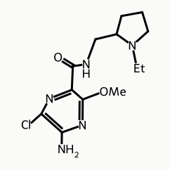 CCN1CCCC1CNC(=O)c1nc(Cl)c(N)nc1OC